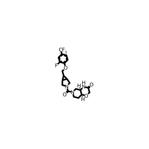 O=C1CO[C@H]2CCN(C(=O)N3CC4C(COc5ccc(C(F)(F)F)cc5F)C4C3)C[C@H]2N1